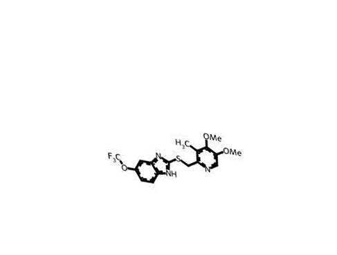 COc1cnc(CSc2nc3cc(OC(F)(F)F)ccc3[nH]2)c(C)c1OC